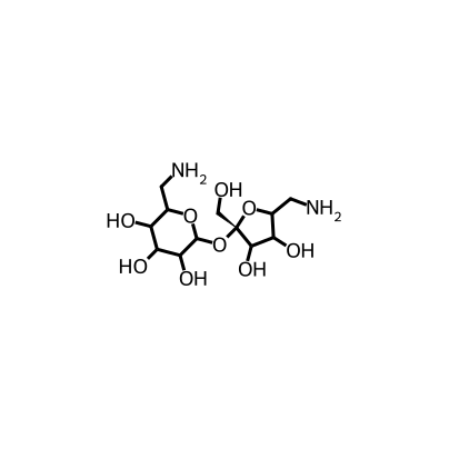 NCC1OC(O[C@]2(CO)OC(CN)C(O)C2O)C(O)C(O)C1O